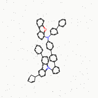 C1=CCC(c2ccc3c(c2)c2cc(-c4ccccc4)ccc2n3-c2ccccc2-c2ccc(-c3ccc(N(c4ccc(-c5ccccc5)cc4)c4cccc5c4oc4ccccc45)cc3)cc2)C=C1